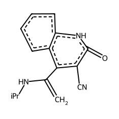 C=C(NC(C)C)c1c(C#N)c(=O)[nH]c2ccccc12